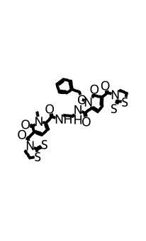 Cn1c(C(=O)NCCNC(=O)c2ccc(C(=O)N3CCSC3=S)c(=O)n2OCc2ccccc2)ccc(C(=O)N2CCSC2=S)c1=O